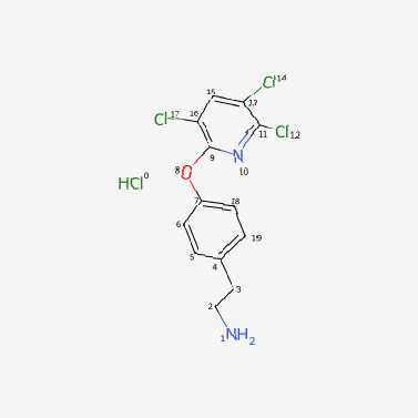 Cl.NCCc1ccc(Oc2nc(Cl)c(Cl)cc2Cl)cc1